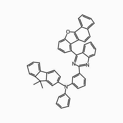 CC1(C)c2ccccc2-c2ccc(N(c3ccccc3)c3cccc(-c4nc(-c5cccc6oc7c8ccccc8ccc7c56)c5ccccc5n4)c3)cc21